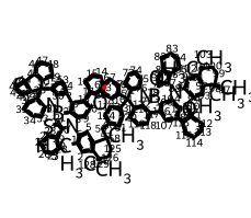 Cc1cc2c(cc1N1c3cc4oc5ccccc5c4c4c3B(c3sc5ccccc5c31)N1c3ccccc3C3(c5ccccc5-c5ccccc53)c3cccc-4c31)C(C)(Cc1ccc(C3(c4ccccc4)c4ccccc4N4B5c6oc7ccccc7c6N(c6cc7c(cc6C)C(C)(C)CCC7(C)C)c6c5c(cc5c6oc6ccccc65)-c5cccc3c54)cc1)CCC2(C)C